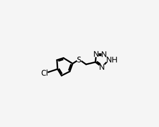 Clc1ccc(SCc2nn[nH]n2)cc1